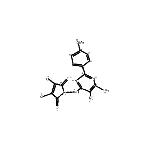 [C-]#[N+]c1c(NN2C(=O)C(Cl)=C(Cl)C2=O)nc(-c2ccc(OC)cc2)nc1SC